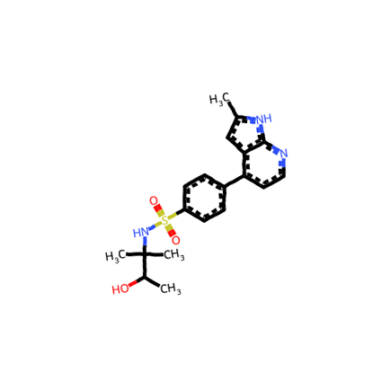 Cc1cc2c(-c3ccc(S(=O)(=O)NC(C)(C)C(C)O)cc3)ccnc2[nH]1